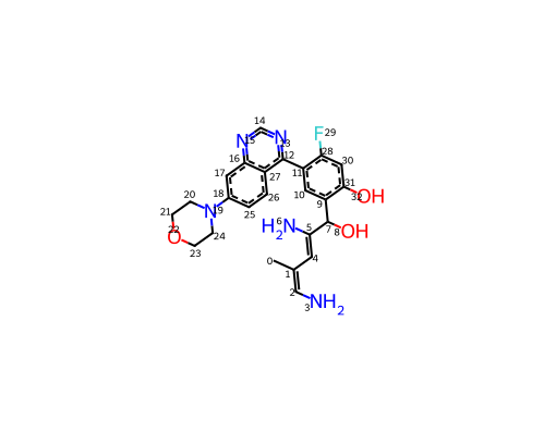 CC(=C/N)/C=C(\N)C(O)c1cc(-c2ncnc3cc(N4CCOCC4)ccc23)c(F)cc1O